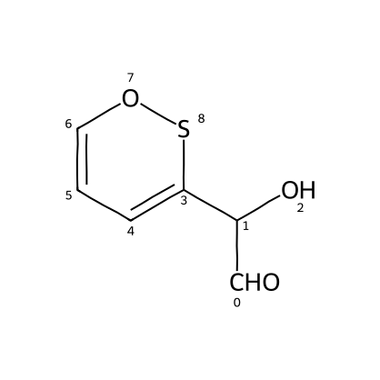 O=CC(O)C1=CC=COS1